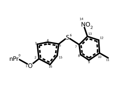 CCCOc1ccc(Sc2ccc(C)cc2[N+](=O)[O-])cc1